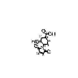 O=C(O)C1CCC(N2C(=O)C=CC2=O)C(O)C1